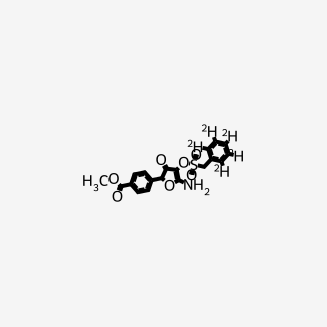 [2H]c1c([2H])c([2H])c(CS(=O)(=O)OC2=C(N)OC(c3ccc(C(=O)OC)cc3)C2=O)c([2H])c1[2H]